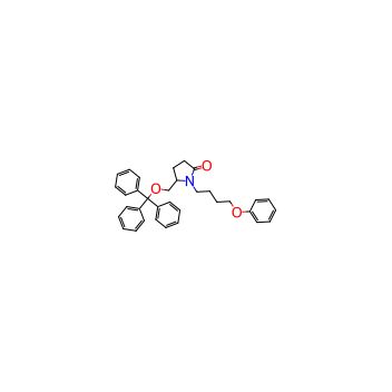 O=C1CCC(COC(c2ccccc2)(c2ccccc2)c2ccccc2)N1CCCCOc1ccccc1